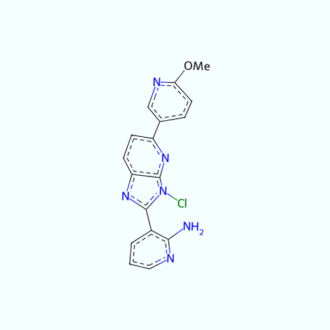 COc1ccc(-c2ccc3nc(-c4cccnc4N)n(Cl)c3n2)cn1